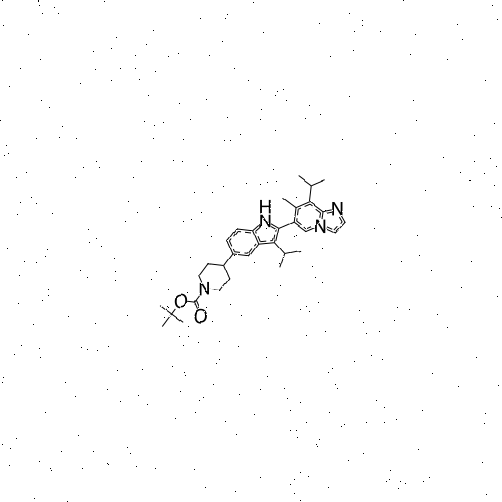 Cc1c(-c2[nH]c3ccc(C4CCN(C(=O)OC(C)(C)C)CC4)cc3c2C(C)C)cn2ccnc2c1C(C)C